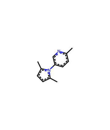 Cc1ccc(-n2c(C)ccc2C)cn1